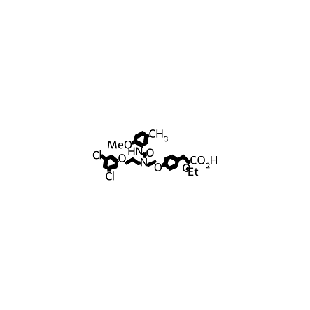 CCOC(Cc1ccc(OCCN(CCCOc2cc(Cl)cc(Cl)c2)C(=O)Nc2cc(C)ccc2OC)cc1)C(=O)O